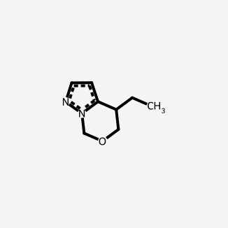 CCC1COCn2nccc21